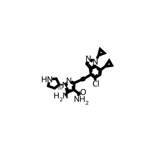 NC(=O)c1c(C#Cc2c(Cl)cc(C3CC3)c3c2cnn3C2CC2)nn([C@H]2CCNC2)c1N